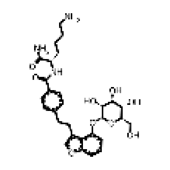 NCCCC[C@H](NC(=O)c1ccc(CCc2coc3cccc(O[C@@H]4O[C@H](CO)[C@@H](O)[C@H](O)[C@H]4O)c23)cc1)C(N)=O